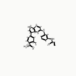 C=CC(=O)Nc1cccc(Oc2cnc3[nH]cc(-c4ccc(C(N)=O)c(F)c4)c3n2)c1